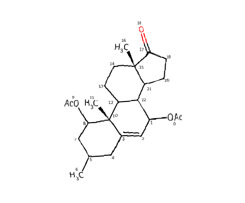 CC(=O)OC1C=C2CC(C)CC(OC(C)=O)[C@]2(C)C2CC[C@]3(C)C(=O)CCC3C12